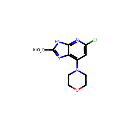 CCOC(=O)c1nc2c(N3CCOCC3)cc(Cl)nc2[nH]1